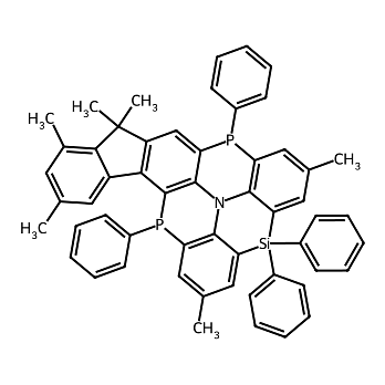 Cc1cc(C)c2c(c1)-c1c(cc3c4c1P(c1ccccc1)c1cc(C)cc5c1N4c1c(cc(C)cc1[Si]5(c1ccccc1)c1ccccc1)P3c1ccccc1)C2(C)C